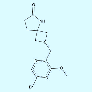 COc1nc(Br)cnc1CN1CC2(CCC(=O)N2)C1